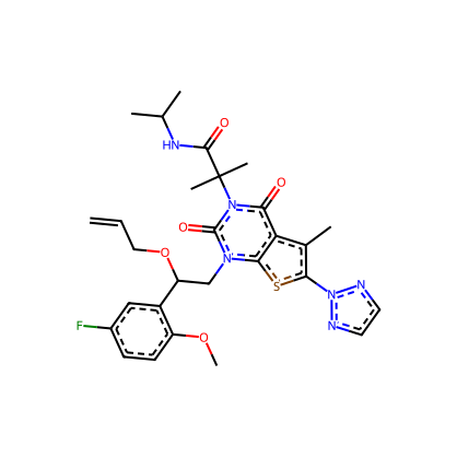 C=CCOC(Cn1c(=O)n(C(C)(C)C(=O)NC(C)C)c(=O)c2c(C)c(-n3nccn3)sc21)c1cc(F)ccc1OC